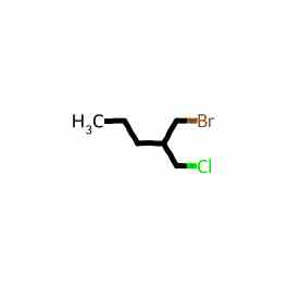 CCCC(CCl)CBr